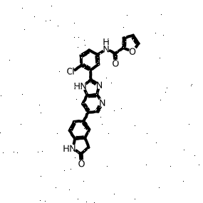 O=C1Cc2cc(-c3cnc4nc(-c5cc(NC(=O)c6ccco6)ccc5Cl)[nH]c4c3)ccc2N1